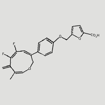 C=C1/C(C)=C\OC/C(c2ccc(OCc3ccc(C(=O)O)o3)cc2)=C\C(F)=C/1F